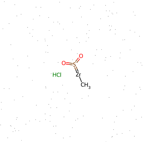 Cl.[CH3][Zr]=[S](=O)=O